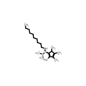 CCCCCCCCCC[NH][Ti]([C]1=C(C)C(C)=C(C)C1C)[SiH](C)C